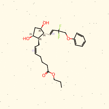 CCCOC(=O)CCC/C=C\C[C@@H]1[C@@H](/C=C/C(F)(F)COc2ccccc2)[C@H](O)C[C@@H]1O